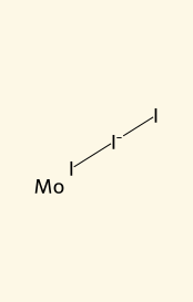 I[I-]I.[Mo]